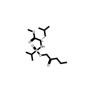 CCCC(=O)COP(=O)(N[C@@H](CC(C)C)C(=O)OC)C(C)C